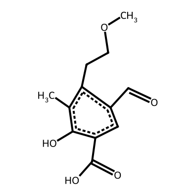 COCCc1c(C=O)cc(C(=O)O)c(O)c1C